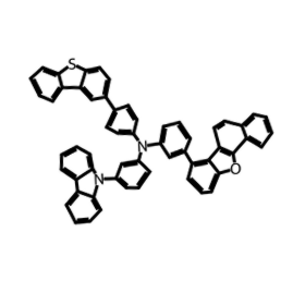 c1cc(-c2cccc3oc4c5ccccc5ccc4c23)cc(N(c2ccc(-c3ccc4sc5ccccc5c4c3)cc2)c2cccc(-n3c4ccccc4c4ccccc43)c2)c1